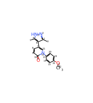 Cc1n[nH]c(C)c1-c1ccc(=O)n(-c2ccc(OC(F)(F)F)cc2)c1